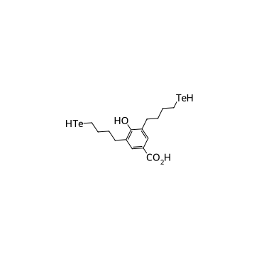 O=C(O)c1cc(CCCC[TeH])c(O)c(CCCC[TeH])c1